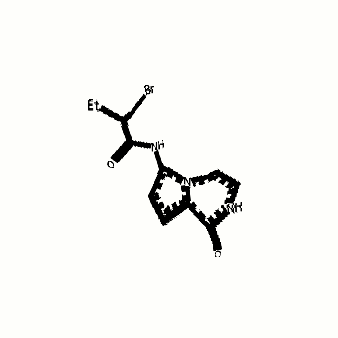 CCC(Br)C(=O)Nc1ccc2c(=O)[nH]ccn12